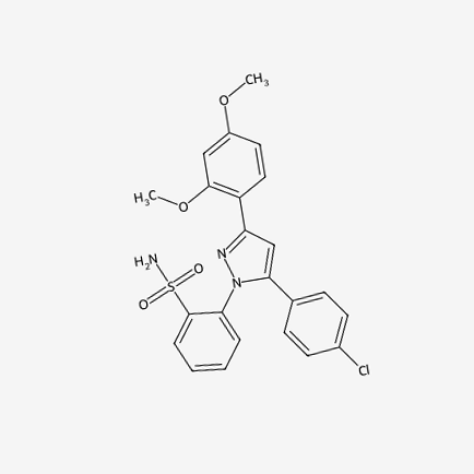 COc1ccc(-c2cc(-c3ccc(Cl)cc3)n(-c3ccccc3S(N)(=O)=O)n2)c(OC)c1